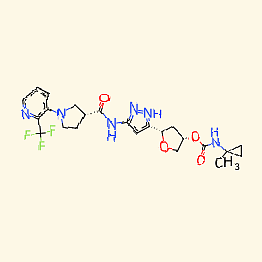 CC1(NC(=O)O[C@@H]2CO[C@H](c3cc(NC(=O)[C@@H]4CCN(c5cccnc5C(F)(F)F)C4)n[nH]3)C2)CC1